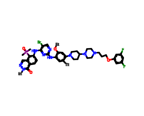 CCOc1cc(N2CCC(N3CCN(CCCOc4cc(F)cc(F)c4)CC3)CC2)c(CC)cc1Nc1ncc(Br)c(Nc2ccc3c(=O)n(CC)ncc3c2P(C)(C)=O)n1